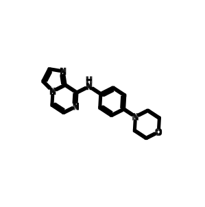 c1cn2ccnc2c(Nc2ccc(N3CCOCC3)cc2)n1